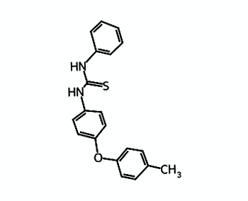 Cc1ccc(Oc2ccc(NC(=S)Nc3ccccc3)cc2)cc1